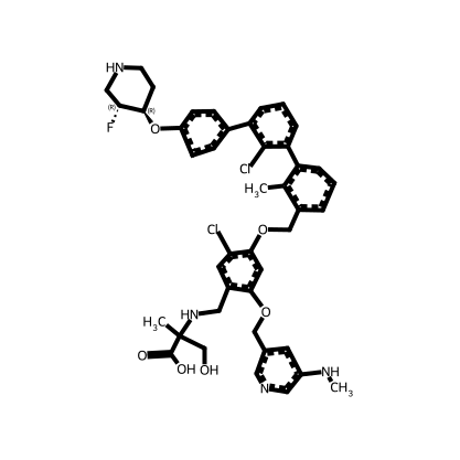 CNc1cncc(COc2cc(OCc3cccc(-c4cccc(-c5ccc(O[C@@H]6CCNC[C@H]6F)cc5)c4Cl)c3C)c(Cl)cc2CNC(C)(CO)C(=O)O)c1